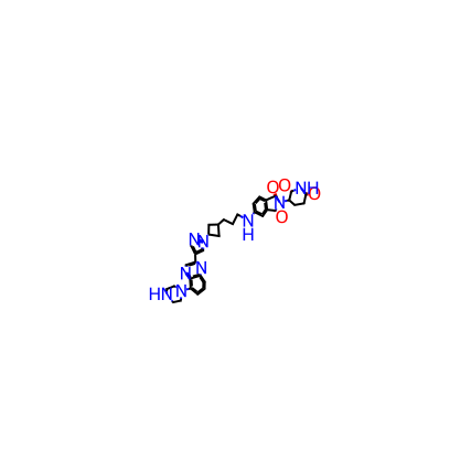 O=C1CCC(N2C(=O)c3ccc(NCCCC4CC(n5cc(-c6cnc7c(N8CCNCC8)cccc7n6)cn5)C4)cc3C2=O)C(=O)N1